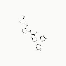 CC(C)C1=C(C(=O)N2CCCC2C(=O)N2CC3(CC3)NC[C@@H]2C)SC2=N[C@@H](c3ccc(Cl)nc3)[C@@H](c3ccc(Cl)c(F)c3)N21